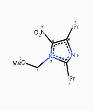 COCn1c(C(C)C)nc(C(C)C)c1[N+](=O)[O-]